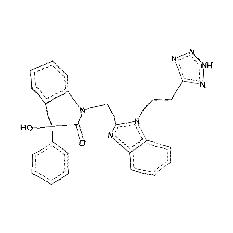 O=C1N(Cc2nc3ccccc3n2CCc2nn[nH]n2)c2ccccc2C1(O)c1ccccc1